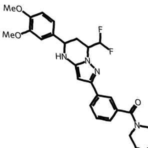 COc1ccc(C2CC(C(F)F)n3nc(-c4cccc(C(=O)N5CCNCC5)c4)cc3N2)cc1OC